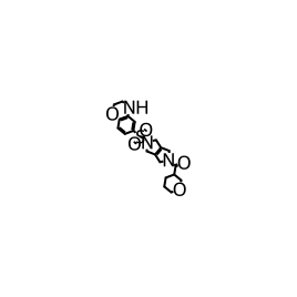 O=C(C1CCCOC1)N1CC2=C(C1)CN(S(=O)(=O)c1ccc3c(c1)NCCO3)C2